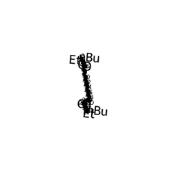 CCCCC(CC)COC(=O)CCCCCCCCCCCCC(C)CC(=O)OCC(CC)CCCC